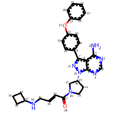 Nc1ncnc2c1c(-c1ccc(Oc3ccccc3)cc1)nn2[C@@H]1CCN(C(=O)C=CCNC2CCC2)C1